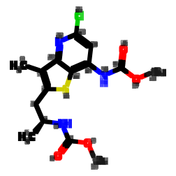 Cc1c(C[C@H](C)NC(=O)OC(C)(C)C)sc2c(NC(=O)OC(C)(C)C)cc(Cl)nc12